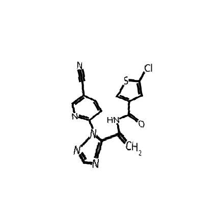 C=C(NC(=O)c1csc(Cl)c1)c1ncnn1-c1ccc(C#N)cn1